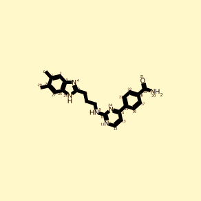 Cc1cc2nc(CCCNc3nccc(-c4ccc(C(N)=O)cc4)n3)[nH]c2cc1C